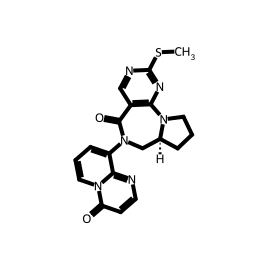 CSc1ncc2c(n1)N1CCC[C@H]1CN(c1cccn3c(=O)ccnc13)C2=O